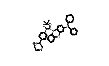 CC1(C)O[C@H](c2ccc(C3CN=CCN3)cc2)[C@@H](N2c3ccccc3Oc3cc(N(c4ccccc4)c4ccccc4)ccc32)O1